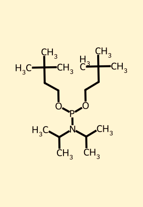 CC(C)N(C(C)C)P(OCCC(C)(C)C)OCCC(C)(C)C